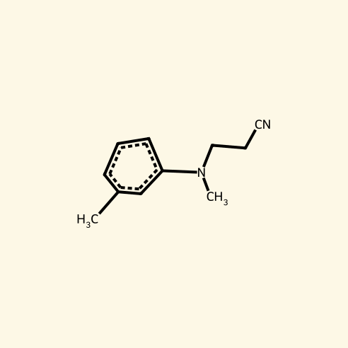 Cc1cccc(N(C)CCC#N)c1